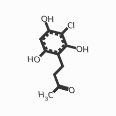 CC(=O)CCc1c(O)cc(O)c(Cl)c1O